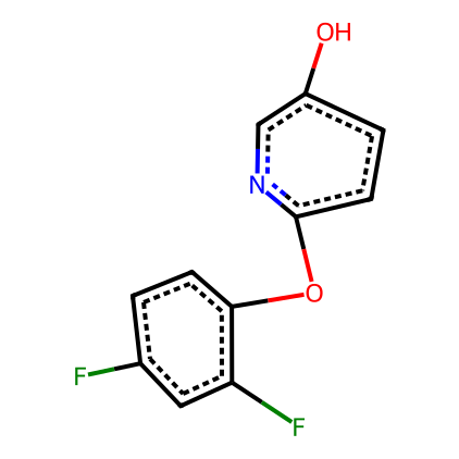 Oc1ccc(Oc2ccc(F)cc2F)nc1